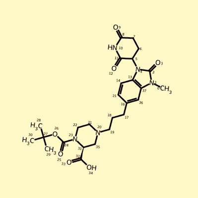 Cn1c(=O)n(C2CCC(=O)NC2=O)c2ccc(CCCN3CCN(C(=O)OC(C)(C)C)[C@H](C(=O)O)C3)cc21